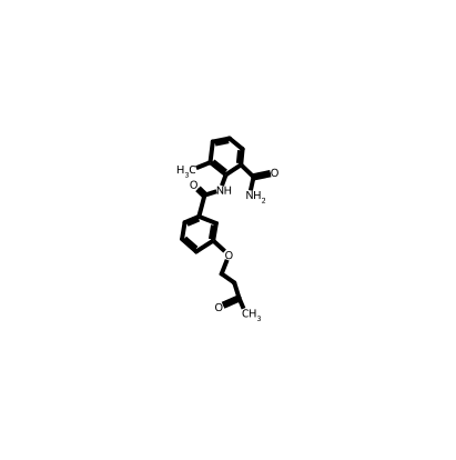 CC(=O)CCOc1cccc(C(=O)Nc2c(C)cccc2C(N)=O)c1